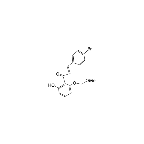 COCOc1cccc(O)c1C(=O)/C=C/c1ccc(Br)cc1